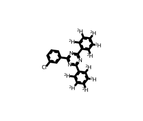 [2H]c1c([2H])c([2H])c(-c2nc(-c3cccc(Cl)c3)nc(-c3c([2H])c([2H])c([2H])c([2H])c3[2H])n2)c([2H])c1[2H]